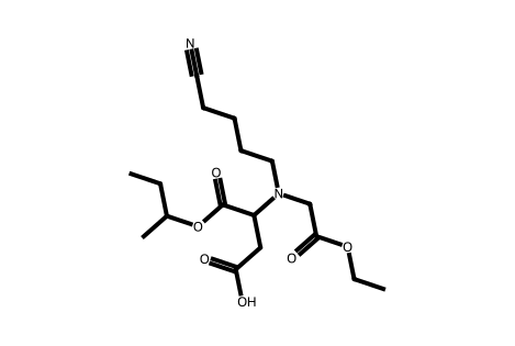 CCOC(=O)CN(CCCCC#N)C(CC(=O)O)C(=O)OC(C)CC